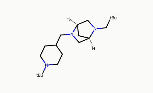 CC(C)(C)CN1C[C@H]2C[C@@H]1CN2CC1CCN(C(C)(C)C)CC1